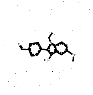 CCn1c(-c2ccc(C=O)cc2)c(N)c2cc(OC)ccc21